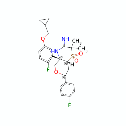 CC1(C)C(=N)N[C@@]2(c3cc(OCC4CC4)ccc3F)CO[C@@H](c3ccc(F)cc3)C[C@H]2S1(=O)=O